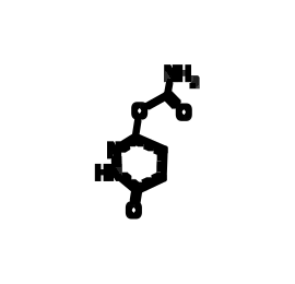 NC(=O)Oc1ccc(=O)[nH]n1